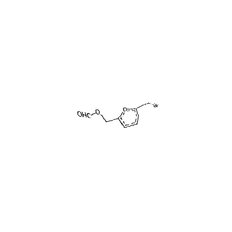 O=COCc1ccc(CBr)o1